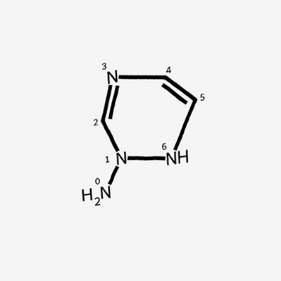 NN1C=NC=CN1